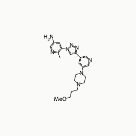 COCCCN1CCN(c2cncc(-c3cn(-c4cc(N)cnc4C)nn3)c2)CC1